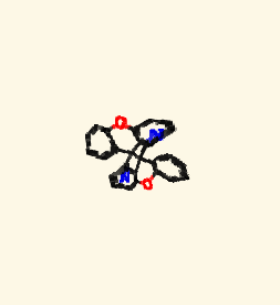 N#CC1(C2(C#N)c3ccccc3Oc3ccccc32)c2ccccc2Oc2ccccc21